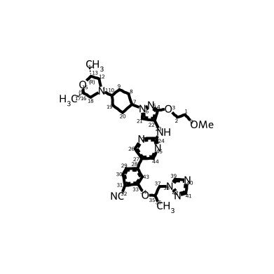 COCCOc1nn(C2CCC(N3C[C@@H](C)O[C@@H](C)C3)CC2)cc1Nc1ncc(-c2ccc(C#N)c(OC(C)Cn3cncn3)c2)cn1